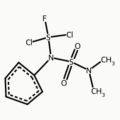 CN(C)S(=O)(=O)N(c1ccccc1)S(F)(Cl)Cl